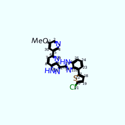 COc1cncc(-c2ccc3[nH]nc(-c4nc5c(-c6ccc(Cl)s6)cccc5[nH]4)c3n2)c1